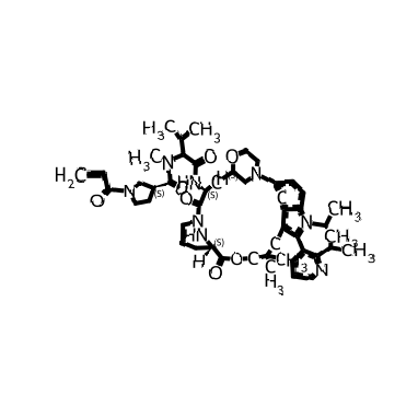 C=CC(=O)N1CC[C@H](C(=O)N(C)C(C(=O)N[C@H]2C[C@H]3CN(CCO3)c3ccc4c(c3)c(c(-c3cccnc3C(C)C)n4CC)CC(C)(C)COC(=O)[C@@H]3CCCN(N3)C2=O)C(C)C)C1